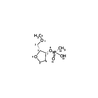 COC[C@H]1OCC[C@H]1O[P@](C)(=O)O